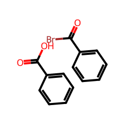 O=C(Br)c1ccccc1.O=C(O)c1ccccc1